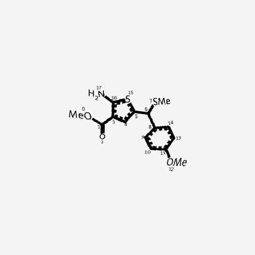 COC(=O)c1cc(C(SC)c2ccc(OC)cc2)sc1N